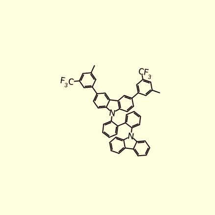 Cc1cc(-c2ccc3c(c2)c2cc(-c4cc(C)cc(C(F)(F)F)c4)ccc2n3-c2ccccc2-c2ccccc2-n2c3ccccc3c3ccccc32)cc(C(F)(F)F)c1